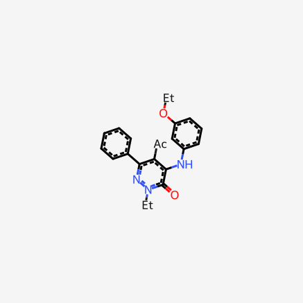 CCOc1cccc(Nc2c(C(C)=O)c(-c3ccccc3)nn(CC)c2=O)c1